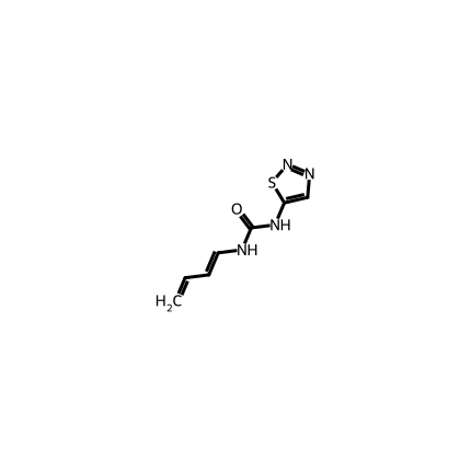 C=CC=CNC(=O)Nc1cnns1